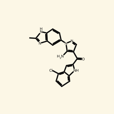 Cc1nc2cc(-n3ncc(C(=O)c4cc5c(Cl)cccc5[nH]4)c3N)ccc2[nH]1